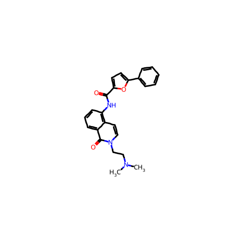 CN(C)CCn1ccc2c(NC(=O)c3ccc(-c4ccccc4)o3)cccc2c1=O